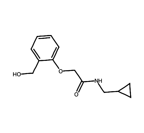 O=C(COc1ccccc1CO)NCC1CC1